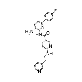 Nc1ccc(-c2ccc(F)cc2)nc1NC(=O)c1ccc(NCCc2cccnc2)nc1